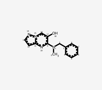 CN(Cc1ccccc1)c1nc2ccnn2cc1O